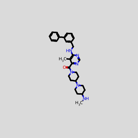 CNC1CCN(C2CCN(C(=O)c3ncnc(NCc4cccc(-c5ccccc5)c4)c3C)CC2)CC1